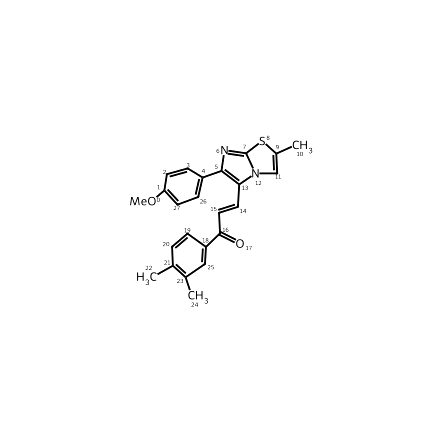 COc1ccc(-c2nc3sc(C)cn3c2/C=C/C(=O)c2ccc(C)c(C)c2)cc1